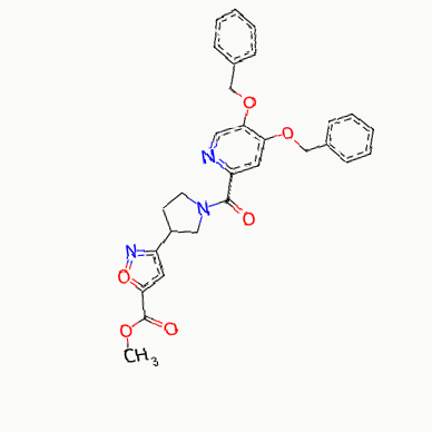 COC(=O)c1cc(C2CCN(C(=O)c3cc(OCc4ccccc4)c(OCc4ccccc4)cn3)C2)no1